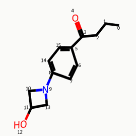 CCCC(=O)c1ccc(N2CC(O)C2)cc1